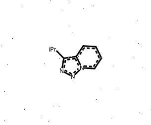 CC(C)c1nnn2ccccc12